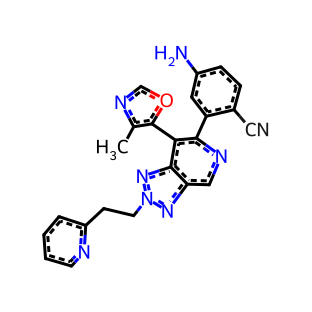 Cc1ncoc1-c1c(-c2cc(N)ccc2C#N)ncc2nn(CCc3ccccn3)nc12